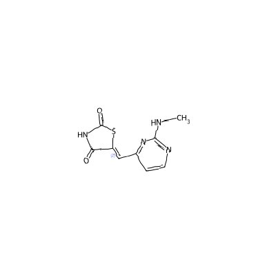 CNc1nccc(/C=C2\SC(=O)NC2=O)n1